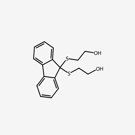 OCCSC1(SCCO)c2ccccc2-c2ccccc21